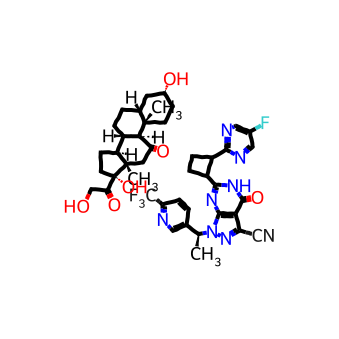 C[C@@H](c1ccc(C(F)(F)F)nc1)n1nc(C#N)c2c(=O)[nH]c(C3CCC3c3ncc(F)cn3)nc21.C[C@]12CC[C@@H](O)C[C@H]1CC[C@@H]1[C@@H]2C(=O)C[C@@]2(C)[C@H]1CC[C@]2(O)C(=O)CO